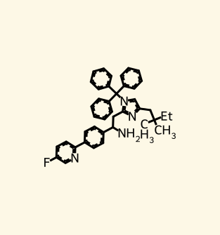 CCC(C)(C)Cc1cn(C(c2ccccc2)(c2ccccc2)c2ccccc2)c(CC(N)c2ccc(-c3ccc(F)cn3)cc2)n1